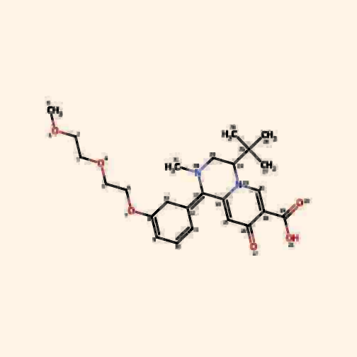 COCCOCCOC1=CC=C/C(=C2\c3cc(=O)c(C(=O)O)cn3C(C(C)(C)C)CN2C)C1